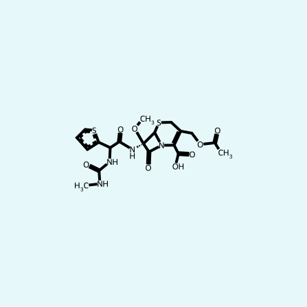 CNC(=O)NC(C(=O)N[C@@]1(OC)C(=O)N2C(C(=O)O)=C(COC(C)=O)CSC21)c1cccs1